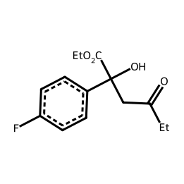 CCOC(=O)C(O)(CC(=O)CC)c1ccc(F)cc1